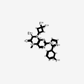 CC[C@@H]1C(=O)N(C)c2cnc(-n3ccnc3C3C=CC=C(F)C3)nc2N1C1CC(F)(F)C1